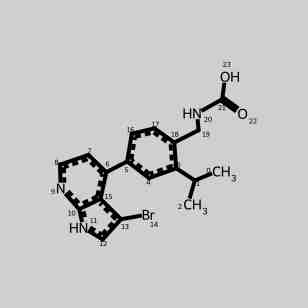 CC(C)c1cc(-c2ccnc3[nH]cc(Br)c23)ccc1CNC(=O)O